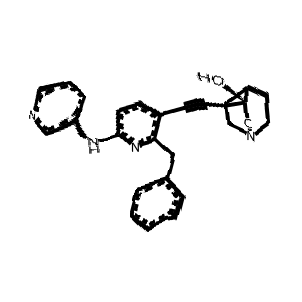 O[C@]1(C#Cc2ccc(Nc3cccnc3)nc2Cc2ccccc2)CN2CCC1CC2